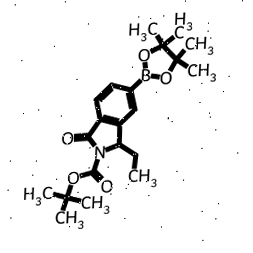 CCC1c2cc(B3OC(C)(C)C(C)(C)O3)ccc2C(=O)N1C(=O)OC(C)(C)C